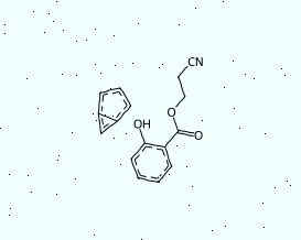 N#CCCOC(=O)c1ccccc1O.c1cc2cc-2c1